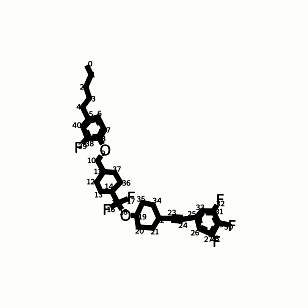 CCCCCc1ccc(OCC2CCC(C(F)(F)OC3CCC(C#Cc4cc(F)c(F)c(F)c4)CC3)CC2)c(F)c1